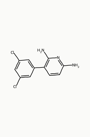 Nc1ccc(-c2cc(Cl)cc(Cl)c2)c(N)n1